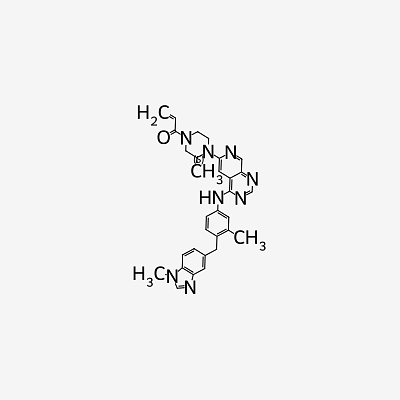 C=CC(=O)N1CCN(c2cc3c(Nc4ccc(Cc5ccc6c(c5)ncn6C)c(C)c4)ncnc3cn2)[C@@H](C)C1